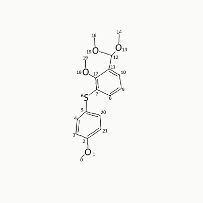 COc1ccc(Sc2cccc(C(OC)OC)c2OC)cc1